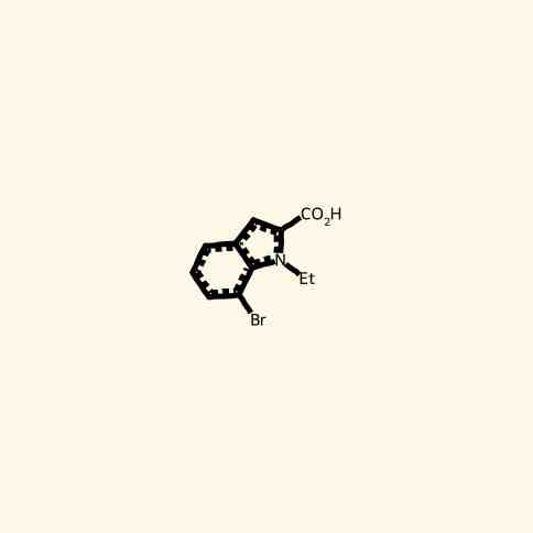 CCn1c(C(=O)O)cc2cccc(Br)c21